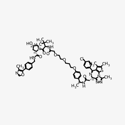 Cc1ncoc1-c1ccc(CNC(=O)[C@@H]2C[C@@H](O)CN2C(=O)C(NC(=O)COCCOCCCOc2ccc([C@@H](C)NC(=O)C[C@@H]3N=C(c4ccc(Cl)cc4)c4c(sc(C)c4C)-n4c(C)nnc43)cc2)C(C)(C)C)cc1